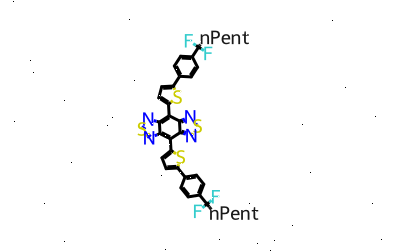 CCCCCC(F)(F)c1ccc(-c2ccc(-c3c4c(c(-c5ccc(-c6ccc(C(F)(F)CCCCC)cc6)s5)c5nsnc35)N=S=N4)s2)cc1